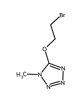 Cn1nnnc1OCCBr